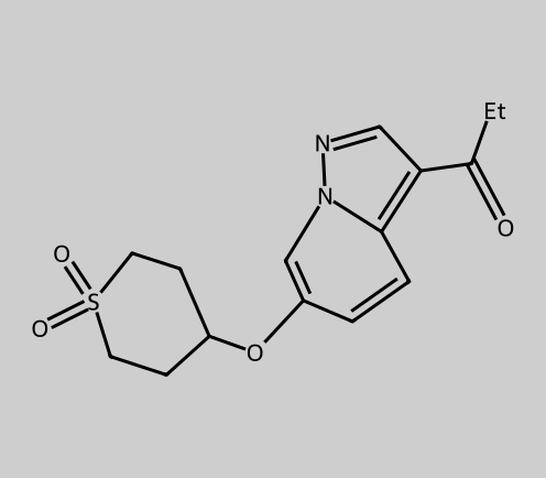 CCC(=O)c1cnn2cc(OC3CCS(=O)(=O)CC3)ccc12